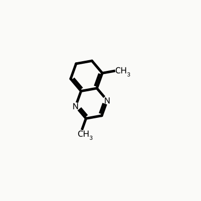 CC1=c2ncc(C)nc2=CCC1